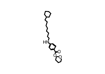 O=C(OC1CCCCO1)c1ccc(NCCCCCCCCC2CCCCC2)cc1